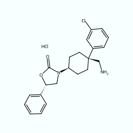 Cl.NC[C@]1(c2cccc(Cl)c2)CC[C@H](N2C[C@H](c3ccccc3)OC2=O)CC1